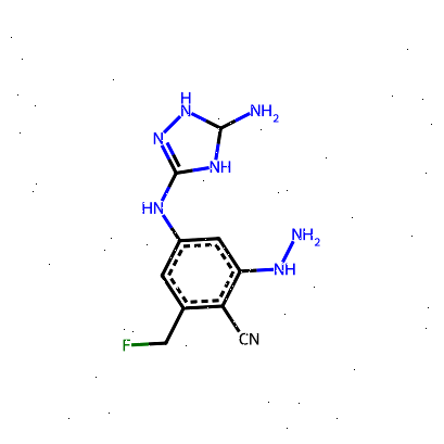 N#Cc1c(CF)cc(NC2=NNC(N)N2)cc1NN